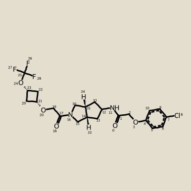 O=C(COc1ccc(Cl)cc1)NC1C[C@@H]2CN(C(=O)CO[C@H]3C[C@@H](OC(F)(F)F)C3)C[C@@H]2C1